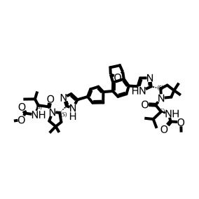 COC(=O)N[C@H](C(=O)N1CC(C)(C)C[C@H]1c1ncc(-c2ccc(-c3ccc(-c4cnc([C@@H]5CC(C)(C)CN5C(=O)[C@@H](NC(=O)OC)C(C)C)[nH]4)c4c3C3CCC4O3)cc2)[nH]1)C(C)C